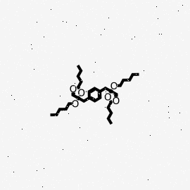 CCCCCOC(C=O)(Cc1[c]cc(CC(C=O)(OCCCCC)OCCCCC)cc1)OCCCCC